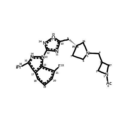 CC(=O)N1CC(CN2CC[C@H](Cc3nc(-n4nc(C(C)C)c5cccc(F)c54)no3)C2)C1